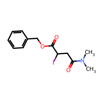 CN(C)C(=O)CC(I)C(=O)OCc1ccccc1